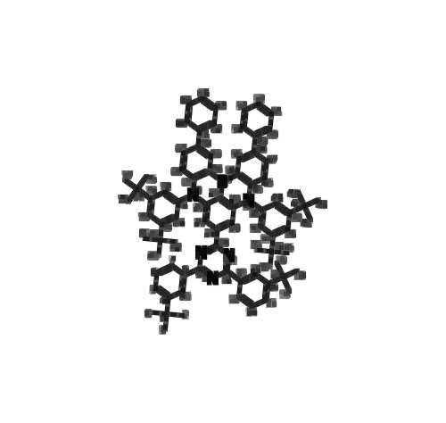 CC(C)(C)c1cccc(-c2nc(-c3cccc(C(C)(C)C)c3)nc(-c3cc4c5c(c3)N(c3cc(C(C)(C)C)cc(C(C)(C)C)c3)c3ccc(-c6ccccc6)cc3B5c3cc(-c5ccccc5)ccc3N4c3cc(C(C)(C)C)cc(C(C)(C)C)c3)n2)c1